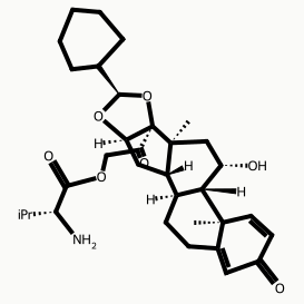 CC(C)[C@@H](N)C(=O)OCC(=O)[C@@]12O[C@H](C3CCCCC3)O[C@@H]1C[C@H]1[C@@H]3CCC4=CC(=O)C=C[C@]4(C)[C@H]3[C@@H](O)C[C@@]12C